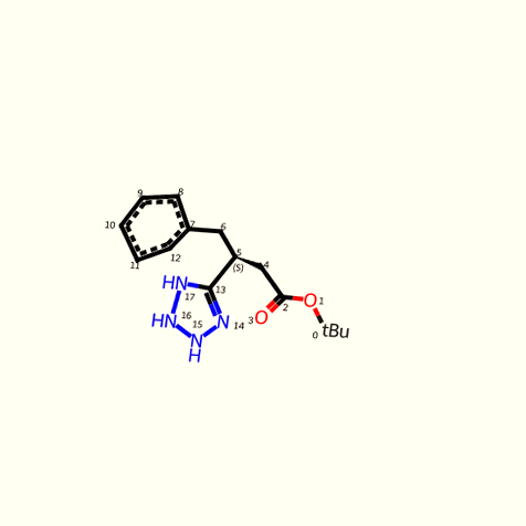 CC(C)(C)OC(=O)C[C@H](Cc1ccccc1)C1=NNNN1